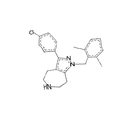 Cc1cccc(C)c1Cn1nc(-c2ccc(Cl)cc2)c2c1CCNCC2